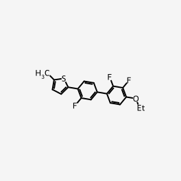 CCOc1ccc(-c2ccc(-c3ccc(C)s3)c(F)c2)c(F)c1F